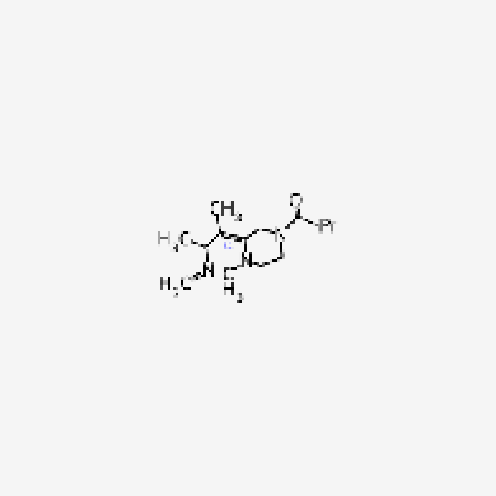 C=NC(C)/C(C)=C1/CN(C(=O)C(C)C)CCN1C